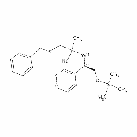 CC(C#N)(CSCc1ccccc1)N[C@@H](CO[Si](C)(C)C)c1ccccc1